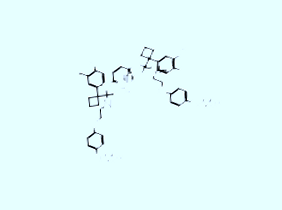 CCCC(NCCOc1ccc(OC)cc1)(OC(=O)/C=C\C(=O)OC(CCC)(NCCOc1ccc(OC)cc1)C1(c2ccc(Cl)c(Cl)c2)CCC1)C1(c2ccc(Cl)c(Cl)c2)CCC1